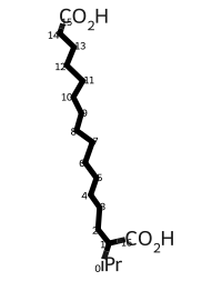 CC(C)C(CCCCCCCCCCCCCC(=O)O)C(=O)O